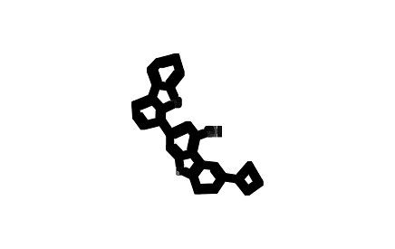 Oc1cc(-c2cccc3c2oc2ccccc23)cc2sc3ccc(C4CCC4)cc3c12